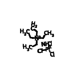 CC[N+](CC)(CC)CC.N.[Cl][Pt-]([Cl])[Cl]